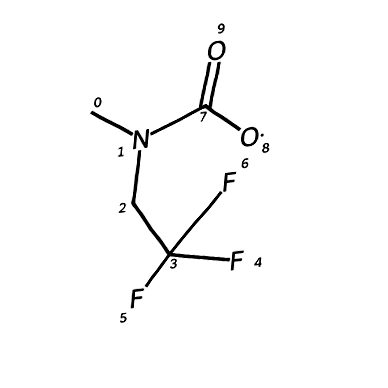 CN(CC(F)(F)F)C([O])=O